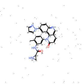 Cc1ccc(-n2c(=O)ccc3cnc4ccc(-n5cccn5)cc4c32)cc1NC(=O)C1CN1